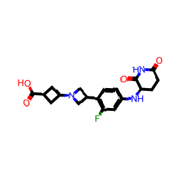 O=C1CCC(Nc2ccc(C3CN(C4CC(C(=O)O)C4)C3)c(F)c2)C(=O)N1